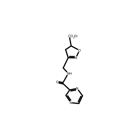 CCOC(=O)C1CC(CNC(=O)c2cnccn2)=NO1